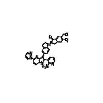 COc1cc2c(cc1C=O)C(=O)N([C@H]1CCc3cc(-n4c(-c5cccnc5N)nc5ccc(-n6cccn6)nc54)ccc31)C2